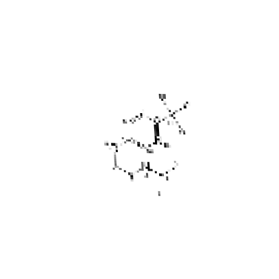 CC(C)N1CCOc2ccc(C(C)(C)C)nc21